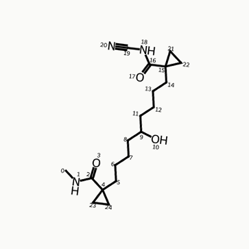 CNC(=O)C1(CCCCC(O)CCCCC2(C(=O)NC#N)CC2)CC1